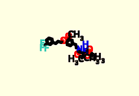 CCS(=O)(=O)NC(C(=O)NCCc1ccc(OCCCc2cccc(C(F)(F)F)c2)c(OC)c1)C(C)C